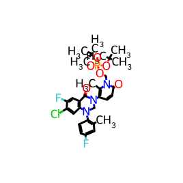 Cc1cc(F)ccc1N1CN(c2ccc(=O)n(COP(=O)(OC(C)(C)C)OC(C)(C)C)c2C)C(=O)c2cc(F)c(Cl)cc21